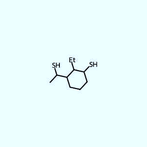 CCC1C(S)CCCC1C(C)S